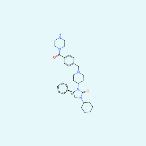 O=C(c1ccc(CN2CCC(N3C(=O)N(C4CCCCC4)C[C@H]3c3ccccc3)CC2)cc1)N1CCNCC1